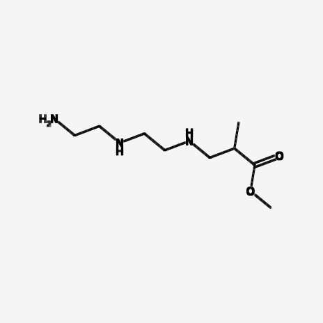 COC(=O)C(C)CNCCNCCN